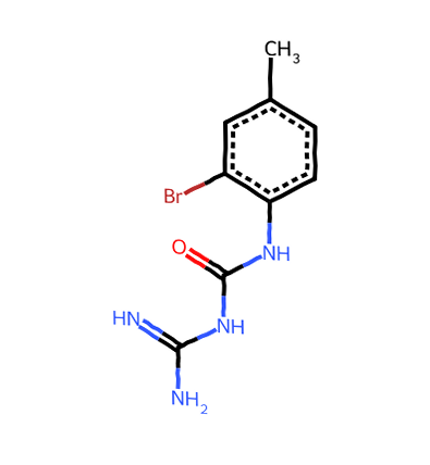 Cc1ccc(NC(=O)NC(=N)N)c(Br)c1